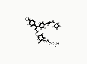 Cc1cc(OCC=C(c2ccc(Cl)cc2)c2ccc(C#CCN3CCCC3)cc2)ccc1OCC(=O)O